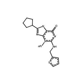 CCCn1c(NCc2cccs2)nc(=O)c2c1N=C(C1CCCC1)[N]2